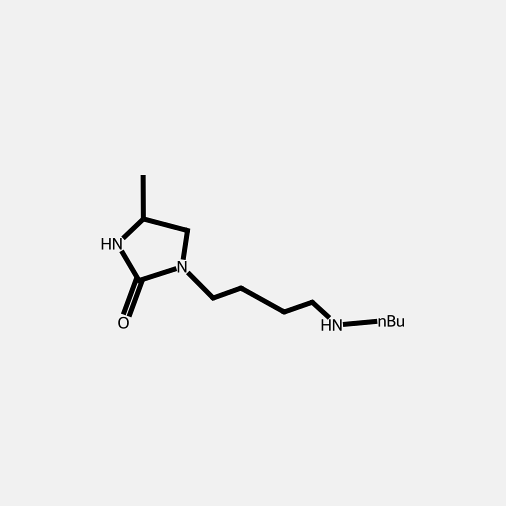 CCCCNCCCCN1CC(C)NC1=O